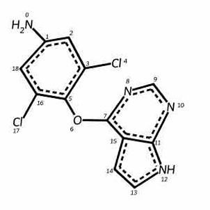 Nc1cc(Cl)c(Oc2ncnc3[nH]ccc23)c(Cl)c1